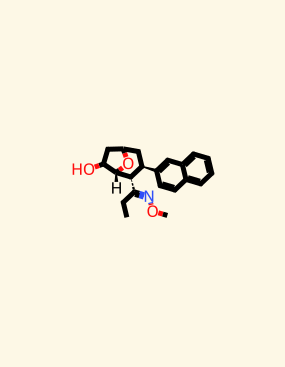 CCC(=NOC)[C@H]1[C@H](c2ccc3ccccc3c2)CC2CC(O)[C@@H]1O2